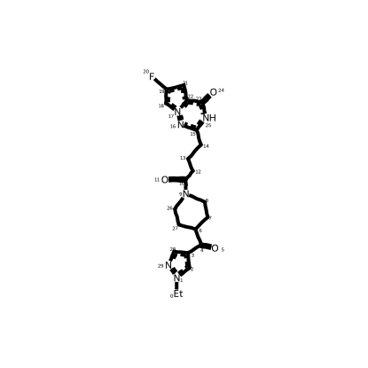 CCn1cc(C(=O)C2CCN(C(=O)CCCc3nn4cc(F)cc4c(=O)[nH]3)CC2)cn1